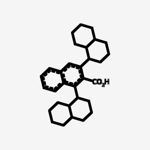 O=C(O)c1c(C2CCCC3CCCCC32)cc2ccccc2c1C1CCCC2CCCCC21